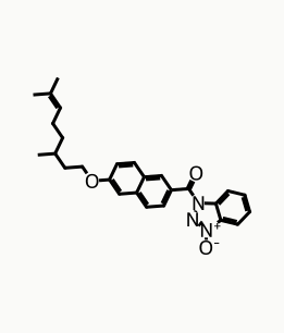 CC(C)=CCCC(C)CCOc1ccc2cc(C(=O)n3n[n+]([O-])c4ccccc43)ccc2c1